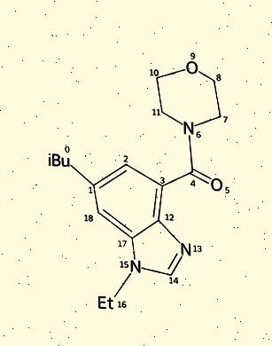 CCC(C)c1cc(C(=O)N2CCOCC2)c2ncn(CC)c2c1